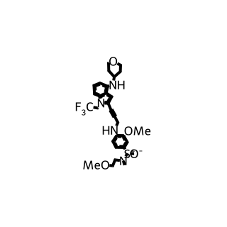 COCCN(C)[S+]([O-])c1ccc(NCC#Cc2cc3c(NC4CCOCC4)cccc3n2CC(F)(F)F)c(OC)c1